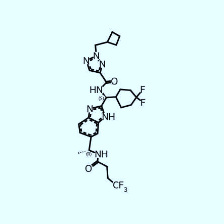 C[C@@H](NC(=O)CCC(F)(F)F)c1ccc2nc([C@@H](NC(=O)c3cnn(CC4CCC4)n3)C3CCC(F)(F)CC3)[nH]c2c1